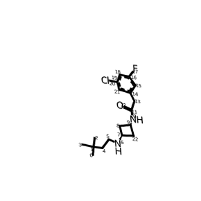 CC(C)(C)CCN[C@H]1C[C@H](NC(=O)Cc2cc(F)cc(Cl)c2)C1